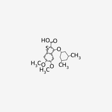 COc1cc2sc(C(=O)O)c(OC3CC(C)CC(C)C3)c2cc1OC